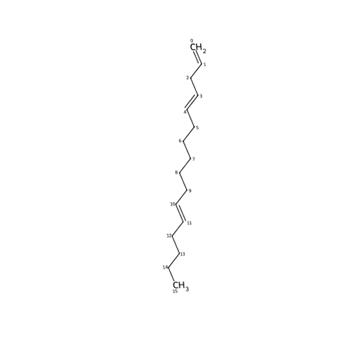 C=CCC=CCCCCCC=CCCCC